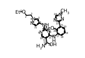 CCOCCn1cc(Nc2ncc(C(N)O)c(Nc3cccc(-c4ncn(C)n4)c3OC)n2)cn1